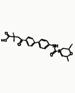 CC1CN(C(=O)Nc2ccc(-c3ccc(C(=O)CC(C)(C)C(=O)O)cc3)cc2)CC(C)O1